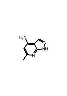 Cc1cc(N)c2cn[nH]c2n1